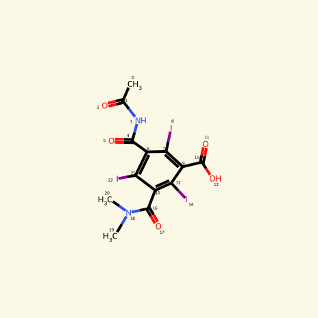 CC(=O)NC(=O)c1c(I)c(C(=O)O)c(I)c(C(=O)N(C)C)c1I